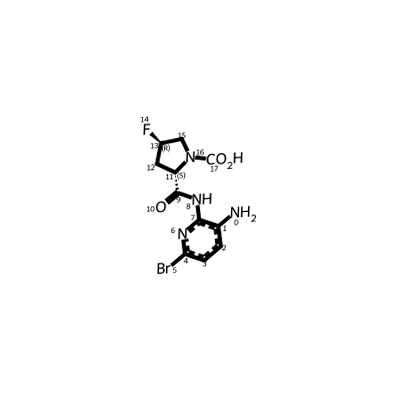 Nc1ccc(Br)nc1NC(=O)[C@@H]1C[C@@H](F)CN1C(=O)O